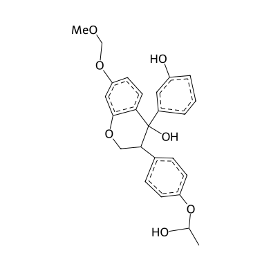 COCOc1ccc2c(c1)OCC(c1ccc(OC(C)O)cc1)C2(O)c1cccc(O)c1